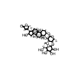 CO[C@@H]1[C@@H](O)[C@H](O[C@H]2CC[C@@]3(C)[C@H](CC[C@@H]4[C@@H]3CC[C@]3(C)[C@@H](C5=CC(=O)OC5)[C@@H](O)C[C@]43O)C2)O[C@H](C)[C@@H]1O[C@@H]1O[C@H](CO)[C@@H](O)[C@H](O)[C@H]1O